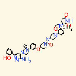 CN(C(=O)N1CCC(Oc2cccc(N3CCN(c4cc(-c5ccccc5O)nnc4N)CC34CCC4)c2)CC1)C1CCN(c2cccc3c2OCCN3[C@]2([SiH3])CCC(=O)NC2=O)CC1